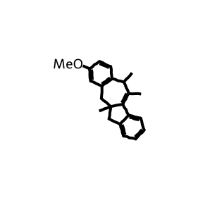 COc1ccc2c(c1)CC1(C)Cc3ccccc3C1=C(C)C2C